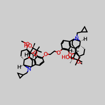 CO[C@]12CC[C@@]3(C[C@@H]1[C@](C)(O)C(C)(C)C)[C@H]1Cc4ccc(OCCOc5ccc6c7c5O[C@H]5[C@@]8(OC)CC[C@@]9(C[C@@H]8[C@](C)(O)C(C)(C)C)[C@@H](C6)N(CC6CC6)CC[C@]759)c5c4[C@@]3(CCN1CC1CC1)[C@H]2O5